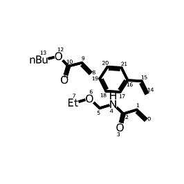 C=CC(=O)NCOCC.C=CC(=O)OCCCC.C=Cc1ccccc1